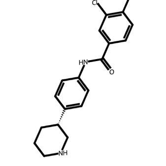 O=C(Nc1ccc([C@H]2CCCNC2)cc1)c1ccc(Cl)c(Cl)c1